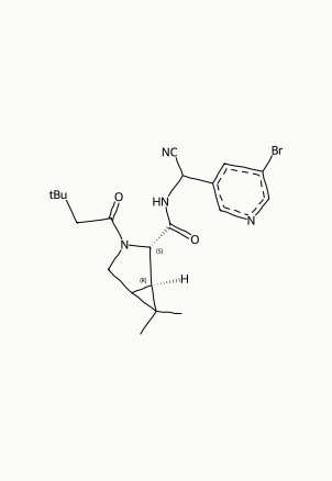 CC(C)(C)CC(=O)N1CC2[C@@H]([C@H]1C(=O)NC(C#N)c1cncc(Br)c1)C2(C)C